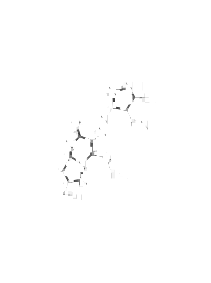 CCc1[nH]nc(/N=N/c2c(OC(C)CC)n3nc(C(C)(C)C)cc3[nH]c2=O)c1C#N